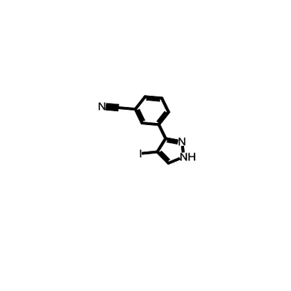 N#Cc1cccc(-c2n[nH]cc2I)c1